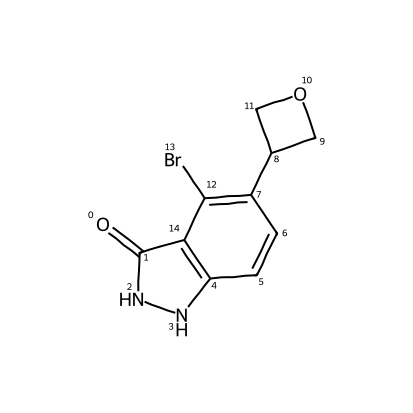 O=c1[nH][nH]c2ccc(C3COC3)c(Br)c12